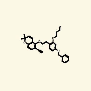 C#Cc1ccc2c(c1OCCc1ccc(OCc3ccccc3)cc1OCCCC)C=CC(C)(C)O2